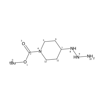 CC(C)(C)OC(=O)N1CCC(NNN)CC1